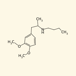 CCCCNC(C)Cc1ccc(OC)c(OC)c1